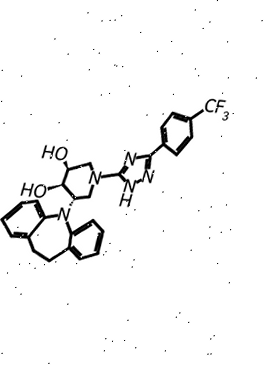 O[C@H]1[C@@H](O)CN(c2nc(-c3ccc(C(F)(F)F)cc3)n[nH]2)C[C@@H]1N1c2ccccc2CCc2ccccc21